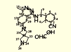 Cc1c(C#N)cccc1C(C)Nc1nnc(C)c2ccc(N3CC4(CCN(C)C4)C3)cc12.O=CO